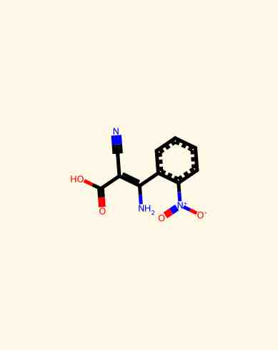 N#C/C(C(=O)O)=C(/N)c1ccccc1[N+](=O)[O-]